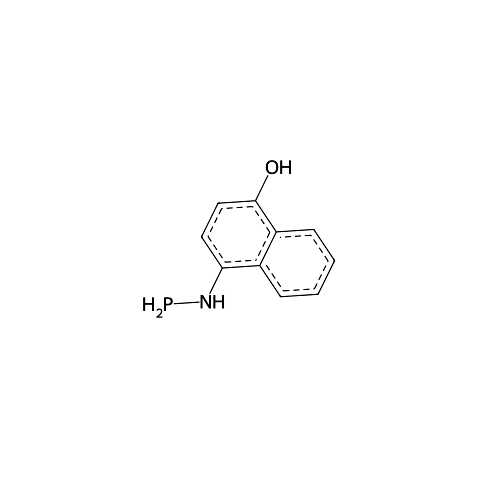 Oc1ccc(NP)c2ccccc12